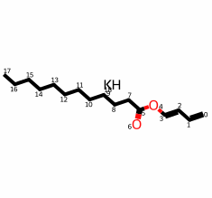 C=CC=COC(=O)CCCCCCCCCCC.[KH]